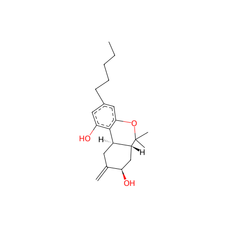 C=C1C[C@H]2c3c(O)cc(CCCCC)cc3OC(C)(C)[C@@H]2C[C@H]1O